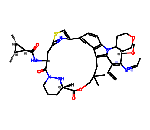 C=C/C(=C(\N=C/C)[C@H](C)OC)c1c2c3cc(ccc3n1C1CCOCC1)-c1csc(n1)C[C@H](NC(=O)[C@H]1[C@H](C)[C@@H]1C)C(=O)N1CCC[C@H](N1)C(=O)OCC(C)(C)C2